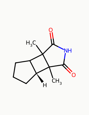 CC12C(=O)NC(=O)C1(C)[C@@H]1CCCC12